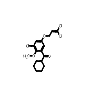 COc1c(Cl)cc(OCC=C(Cl)Cl)cc1C(=O)C1CCCCC1